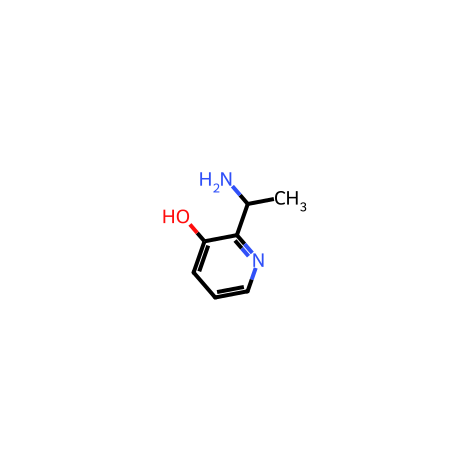 CC(N)c1ncccc1O